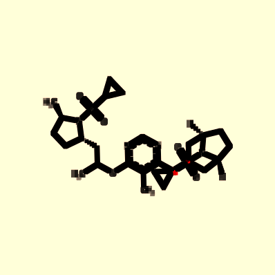 Cc1c(OC(C)C[C@@H]2CC[C@@H](C)N2S(=O)(=O)C2CC2)ncnc1OC1C[C@H]2CC[C@H](C1)N2S(=O)(=O)C1CC1